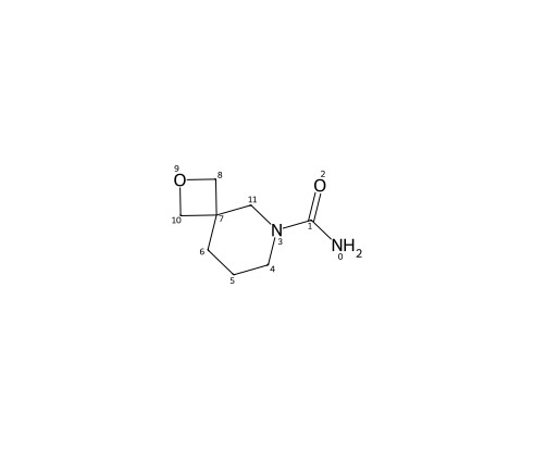 NC(=O)N1CCCC2(COC2)C1